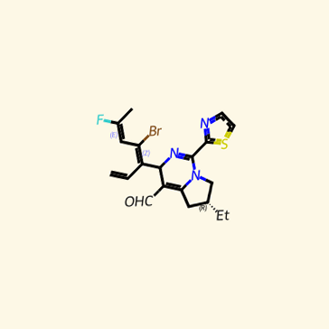 C=C/C(=C(Br)\C=C(/C)F)C1N=C(c2nccs2)N2C[C@H](CC)CC2=C1C=O